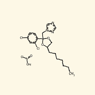 CCCCCCCC1COC(Cn2cncn2)(c2ccc(Cl)cc2Cl)O1.O=[N+]([O-])O